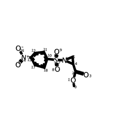 COC(=O)C1CN1S(=O)(=O)c1ccc([N+](=O)[O-])cc1